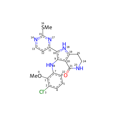 COc1c(Cl)cccc1Nc1c(-c2ccnc(SC)n2)[nH]c2c1C(=O)NCC2